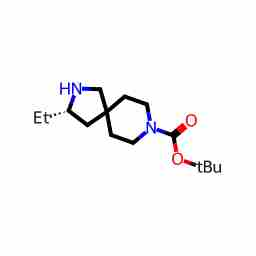 CC[C@H]1CC2(CCN(C(=O)OC(C)(C)C)CC2)CN1